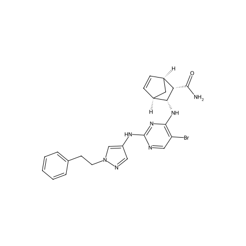 NC(=O)[C@@H]1[C@H](Nc2nc(Nc3cnn(CCc4ccccc4)c3)ncc2Br)[C@H]2C=C[C@@H]1C2